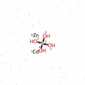 O[Si](O)(O)O.[Cd].[Zn]